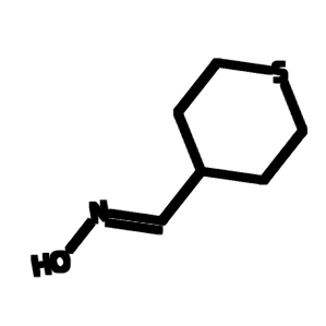 ON=CC1CCSCC1